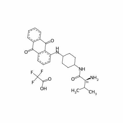 CC(C)[C@H](N)C(=O)NC1CCC(Nc2cccc3c2C(=O)c2ccccc2C3=O)CC1.O=C(O)C(F)(F)F